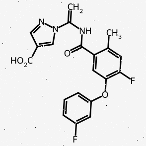 C=C(NC(=O)c1cc(Oc2cccc(F)c2)c(F)cc1C)n1cc(C(=O)O)cn1